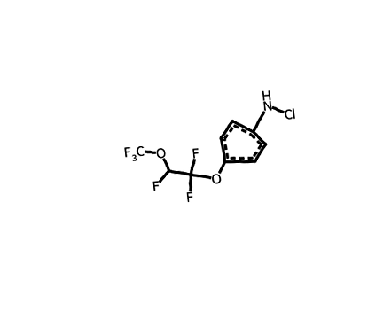 FC(OC(F)(F)F)C(F)(F)Oc1ccc(NCl)cc1